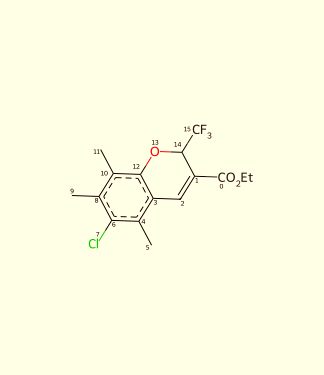 CCOC(=O)C1=Cc2c(C)c(Cl)c(C)c(C)c2OC1C(F)(F)F